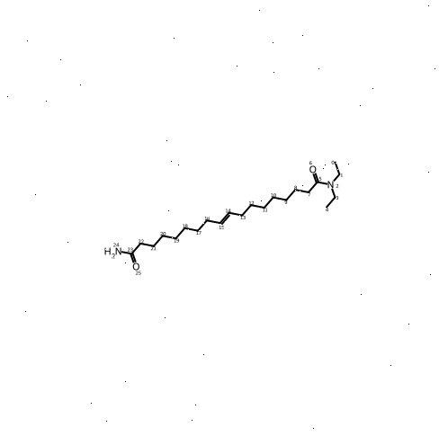 CCN(CC)C(=O)CCCCCCCC=CCCCCCCCC(N)=O